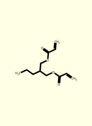 [CH2]CCC(COC(=O)C=C)COC(=O)C=C